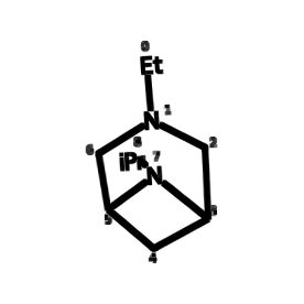 CCN1CC2CC(C1)N2C(C)C